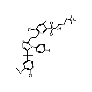 COc1cc(C(C)(C)c2cnc(SCc3cc(S(=O)(=O)NCCC[N+](C)(C)C)c(F)cc3Cl)n2-c2ccc(F)cc2)ccc1Cl